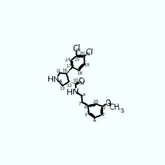 COc1cccc(CCNC(=O)[C@@H]2CNC[C@H]2c2ccc(Cl)c(Cl)c2)c1